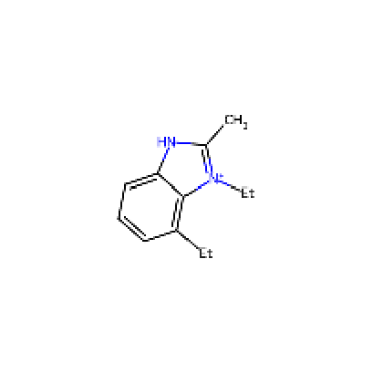 CCc1cccc2[nH]c(C)[n+](CC)c12